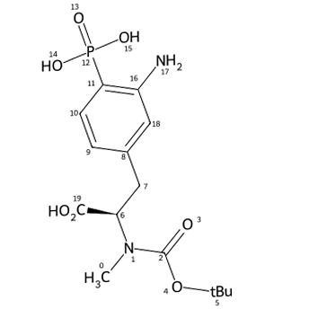 CN(C(=O)OC(C)(C)C)[C@H](Cc1ccc(P(=O)(O)O)c(N)c1)C(=O)O